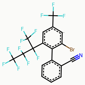 N#Cc1ccccc1-c1c(Br)[c]c(C(F)(F)F)cc1C(F)(C(F)(F)F)C(F)(F)C(F)(F)F